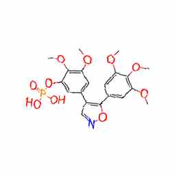 COc1cc(-c2oncc2-c2cc(OC)c(OC)c(OP(=O)(O)O)c2)cc(OC)c1OC